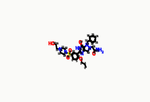 CCCOc1ccc(S(=O)(=O)N2CCN(CCO)CC2)cc1-c1nc2c(c(=O)[nH]1)N(Cc1ccccc1)N(CC(N)=O)C2